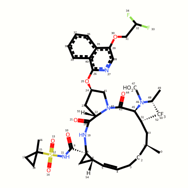 C[C@H]1CCC=C[C@@H]2C[C@@]2(C(=O)NS(=O)(=O)C2(C)CC2)NC(=O)[C@@H]2C[C@@H](Oc3ncc(OCC(F)F)c4ccccc34)CN2C(=O)[C@@H](N(C(=O)O)[C@H](C)C(F)(F)F)[C@H](C)C1